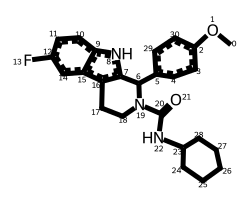 COc1ccc(C2c3[nH]c4ccc(F)cc4c3CCN2C(=O)NC2CCCCC2)cc1